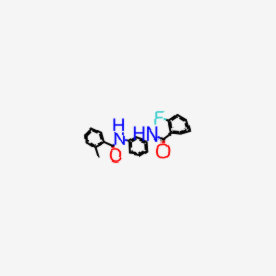 Cc1ccccc1C(=O)Nc1cccc(NC(=O)c2ccccc2F)c1